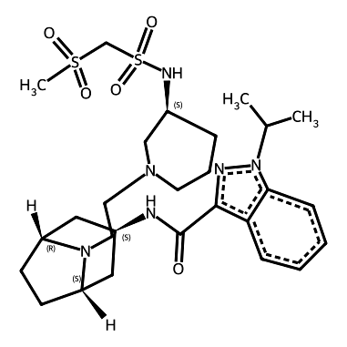 CC(C)n1nc(C(=O)N[C@@H]2C[C@H]3CC[C@@H](C2)N3CCN2CCC[C@H](NS(=O)(=O)CS(C)(=O)=O)C2)c2ccccc21